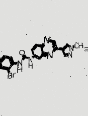 Cn1cc(-c2cnc3ccc(NC(=O)Nc4ccccc4Br)cc3n2)cn1